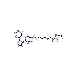 CS(=O)(=O)NCCCCCCOc1ccc(-c2ccnn2C2CCCCO2)nc1